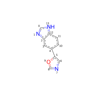 c1nc2cc(-c3cnco3)ccc2[nH]1